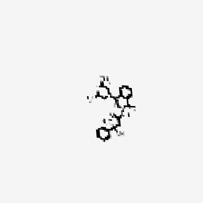 CC1CN(c2nn(NC(=O)CC(C)(C)c3ccccc3)c(=O)c3ccccc23)CC(C)O1